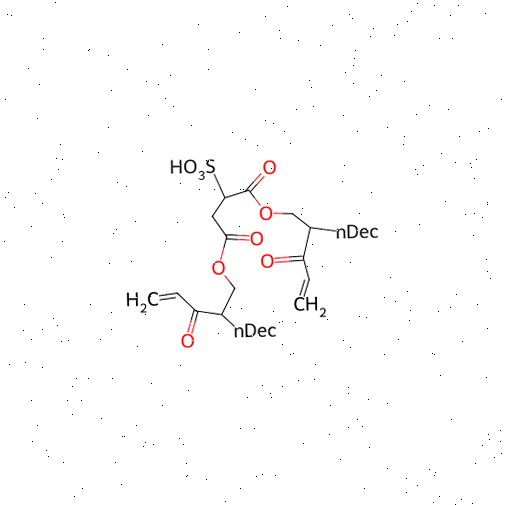 C=CC(=O)C(CCCCCCCCCC)COC(=O)CC(C(=O)OCC(CCCCCCCCCC)C(=O)C=C)S(=O)(=O)O